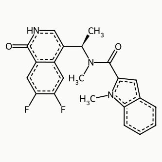 C[C@H](c1c[nH]c(=O)c2cc(F)c(F)cc12)N(C)C(=O)c1cc2ccccc2n1C